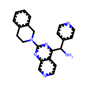 NC(c1ccncc1)c1nc(N2CCc3ccccc3C2)nc2cnccc12